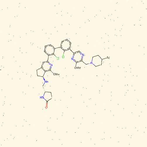 COc1nc(-c2cccc(-c3cccc(-c4cc5c(c(OC)n4)[C@@H](NC[C@@H]4CCC(=O)N4)CC5)c3Cl)c2Cl)cnc1CN1CCC(C(C)=O)CC1